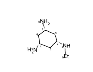 CCN[C@@H]1C[C@H](N)C[C@H](N)C1